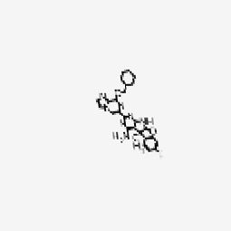 CC1(c2ccc(F)cc2)C(=O)Nc2nc(-c3cn4ccnc4c(OCC4CCCCC4)n3)nc(N)c21